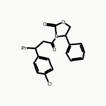 CC(C)C(CC(=O)N1C(=O)OCC1c1ccccc1)c1ccc(Cl)cc1